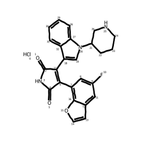 Cl.O=C1NC(=O)C(c2cc(F)cc3ccoc23)=C1c1cn(C2CCCNC2)c2ccccc12